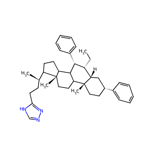 CC[C@H]1[C@@H](c2ccccc2)C2C3CCC([C@H](C)CCc4nnc[nH]4)[C@@]3(C)CCC2[C@@]2(C)CC[C@@H](c3ccccc3)C[C@@H]12